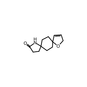 O=C1CCC2(CCC3(C=CCO3)CC2)N1